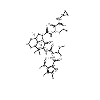 CCC[C@H](NC(=O)[C@@H]1C[C@@H]2CCCC3[C@@H]2N1C(=O)[C@@H](NC(=O)[C@@H](NC(=O)c1[nH]c(C)c(C)c1C(C)=O)C(C)CC)C3(C)C)C(=O)C(=O)NC1CC1